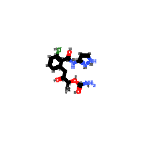 CCC(OC(N)=O)C(=O)Cc1cccc(Cl)c1C(=O)Nc1cc[nH]n1